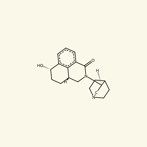 O=C1c2cccc3c2[C@@H](CC[C@@H]3O)CN1[C@@H]1CN2CCC1CC2